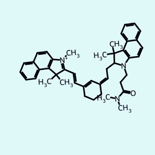 CN(C)C(=O)CCN1c2ccc3ccccc3c2C(C)(C)C1CC=C1C=C(C=CC2=[N+](C)c3ccc4ccccc4c3C2(C)C)CCC1